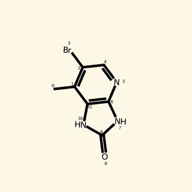 Cc1c(Br)cnc2[nH]c(=O)[nH]c12